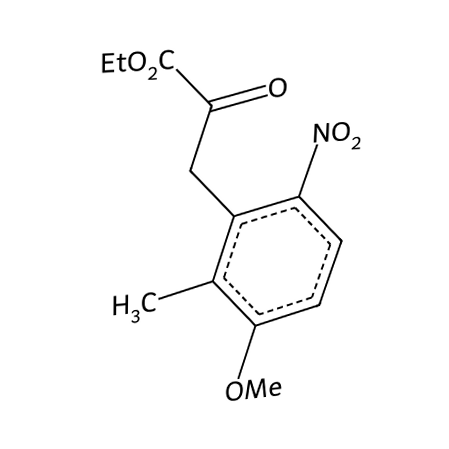 CCOC(=O)C(=O)Cc1c([N+](=O)[O-])ccc(OC)c1C